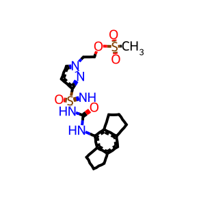 CS(=O)(=O)OCCn1ccc(S(=N)(=O)NC(=O)Nc2c3c(cc4c2CCC4)CCC3)n1